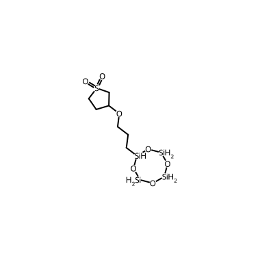 O=S1(=O)CCC(OCCC[SiH]2O[SiH2]O[SiH2]O[SiH2]O2)C1